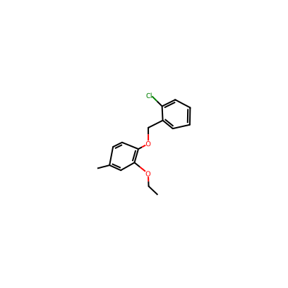 CCOc1cc(C)ccc1OCc1ccccc1Cl